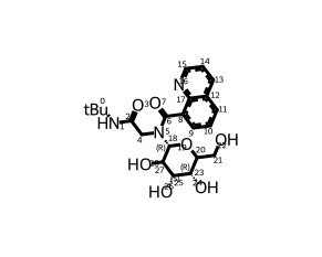 CC(C)(C)NC(=O)CN(C(=O)c1cccc2cccnc12)[C@@H]1OC(CO)[C@H](O)[C@H](O)C1O